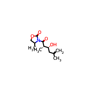 C=C(C)C[C@@H](O)[C@H](C)C(=O)N1C(=O)OCC1C